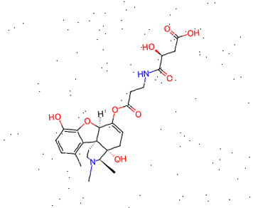 Cc1ccc(O)c2c1[C@]13CCN(C)[C@H](C)[C@]1(O)CC=C(OC(=O)CCNC(=O)[C@@H](O)CC(=O)O)[C@@H]3O2